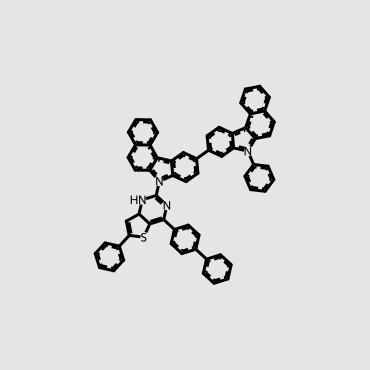 C1=C(c2ccccc2)SC2=C(c3ccc(-c4ccccc4)cc3)N=C(n3c4ccc(-c5ccc6c7c8ccccc8ccc7n(-c7ccccc7)c6c5)cc4c4c5ccccc5ccc43)NC12